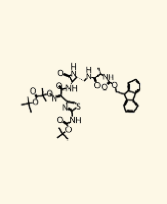 C[C@@H](NC(=O)OCC1c2ccccc2-c2ccccc21)C(=O)NC[C@H]1NC(=O)[C@H]1NC(=O)/C(=N\OC(C)(C)C(=O)OC(C)(C)C)c1csc(NC(=O)OC(C)(C)C)n1